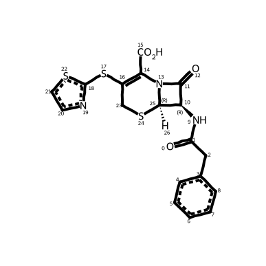 O=C(Cc1ccccc1)N[C@@H]1C(=O)N2C(C(=O)O)=C(Sc3nccs3)CS[C@H]12